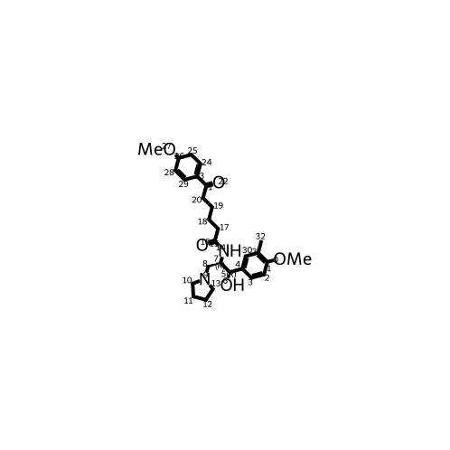 COc1ccc([C@@H](O)[C@@H](CN2CCCC2)NC(=O)CCCCC(=O)C2=CCC(OC)C=C2)cc1C